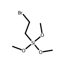 CO[Si](CCBr)(OC)OC